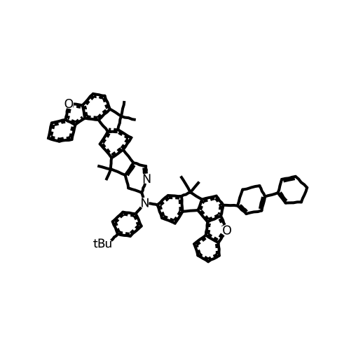 CC(C)(C)c1ccc(N(c2ccc3c(c2)C(C)(C)c2cc(C4=CC=C(C5=CCCC=C5)CC4)c4oc5ccccc5c4c2-3)C2CC3=C(C=N2)c2cc4c(cc2C3(C)C)-c2c(ccc3oc5ccccc5c23)C4(C)C)cc1